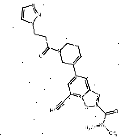 C#Cc1cc(C2=CCCN(C(=O)CCn3ccnn3)C2)cc2cc(C(=O)N(C)C)oc12